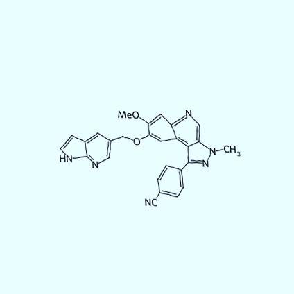 COc1cc2ncc3c(c(-c4ccc(C#N)cc4)nn3C)c2cc1OCc1cnc2[nH]ccc2c1